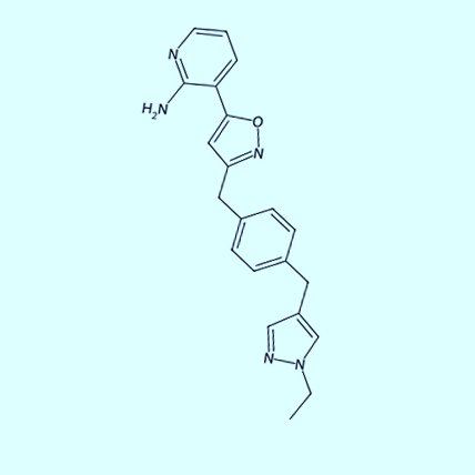 CCn1cc(Cc2ccc(Cc3cc(-c4cccnc4N)on3)cc2)cn1